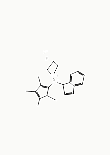 CC1=C(C)C(C)[C]([Zr+2]([CH]2C=Cc3ccccc32)[SiH]2CCC2)=C1C.[F-].[F-]